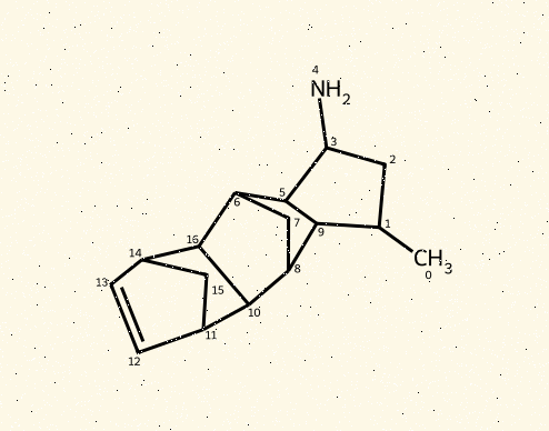 CC1CC(N)C2C3CC(C12)C1C2C=CC(C2)C31